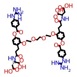 N=C(N)Nc1ccc(C(=O)Oc2ccc(CCC(=O)NC(CC(=O)O)C(=O)O)c(OCCOCCOCCOc3cc(OC(=O)c4ccc(NC(=N)N)cc4)ccc3CCC(=O)N[C@@H](CC(=O)O)C(=O)O)c2)cc1